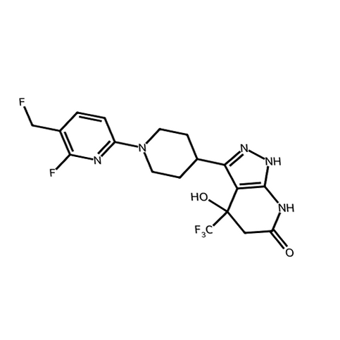 O=C1CC(O)(C(F)(F)F)c2c(C3CCN(c4ccc(CF)c(F)n4)CC3)n[nH]c2N1